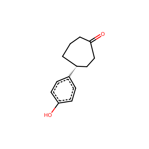 O=C1CCC[C@@H](c2ccc(O)cc2)CC1